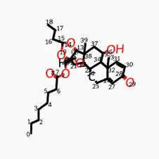 CCCCCCCC(=O)OCC(=O)[C@@]12OC(CCC)O[C@@H]1CC1C3CCC4=CC(=O)C=CC4(C)C3C(O)CC12C